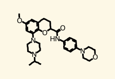 COc1cc2c(c(N3CCN(C(C)C)CC3)c1)OC(C(=O)Nc1ccc(N3CCOCC3)cc1)CC2